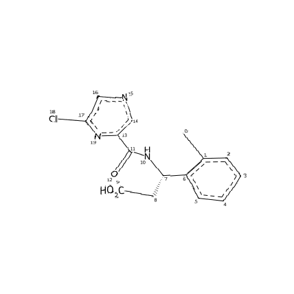 Cc1ccccc1[C@H](CC(=O)O)NC(=O)c1cncc(Cl)n1